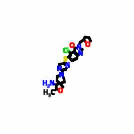 C[C@@H]1OCC2(CCN(c3cnc(Sc4ccc5ncn(CC6CCCO6)c(=O)c5c4Cl)cn3)CC2)[C@@H]1N